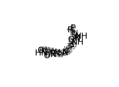 CC12Cc3[nH]nc(C(=O)Nc4ccc(C5CCN(CC6CCN(c7ccc(C8CCC(=O)NC8=O)cn7)CC6)CC5)cc4)c3CC1C2(F)F